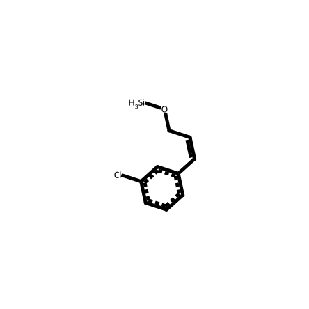 [SiH3]OC/C=C\c1cccc(Cl)c1